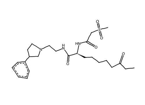 CCC(=O)CCCCC[C@H](NC(=O)CS(C)(=O)=O)C(=O)NCCN1CCC(c2ccccc2)C1